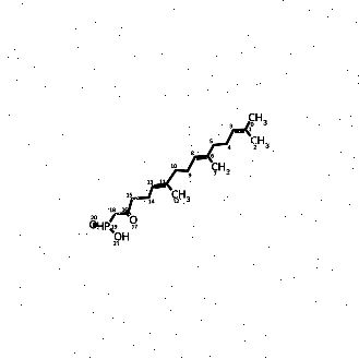 CC(C)=CCC/C(C)=C/CC/C(C)=C/CCC(=O)C[PH](=O)O